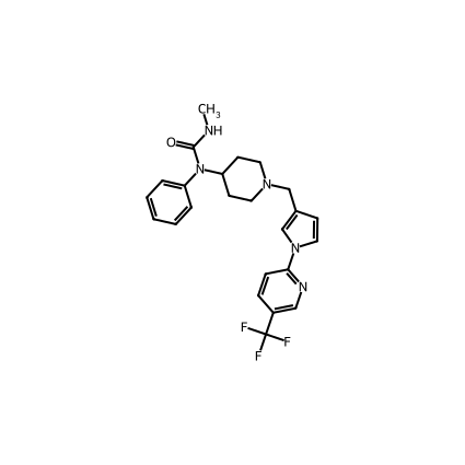 CNC(=O)N(c1ccccc1)C1CCN(Cc2ccn(-c3ccc(C(F)(F)F)cn3)c2)CC1